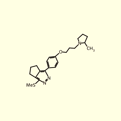 CSc1nnc(-c2ccc(OCCCN3CCCC3C)cc2)c2c1CCC2